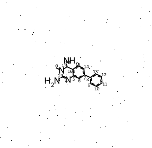 CN1C(N)=Nc2cc(-c3ccccc3)ccc2C1N